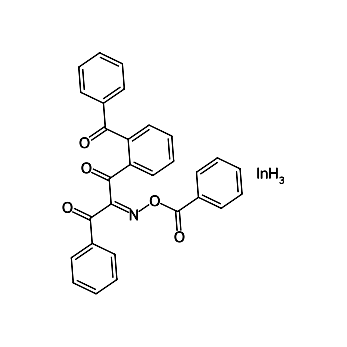 O=C(ON=C(C(=O)c1ccccc1)C(=O)c1ccccc1C(=O)c1ccccc1)c1ccccc1.[InH3]